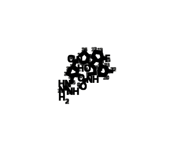 COC(=O)NCCCC(O)(c1cccc(F)c1-c1cccc(C)c1)[C@@H]1CCCN(C(=O)c2ccc(CNC(=N)N)cc2)C1